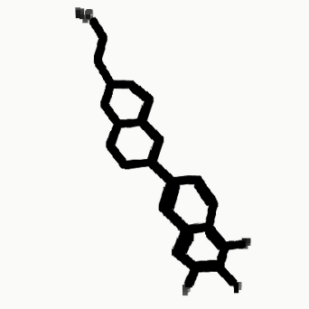 CCCC1CCC2CC(c3ccc4c(F)c(F)c(F)cc4c3)CCC2C1